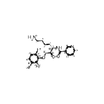 NCCCC[C@H](NC(=O)c1cccnc1)C(=O)COc1c(F)ccc(F)c1F